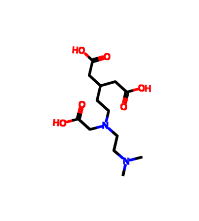 CN(C)CCN(CCC(CC(=O)O)CC(=O)O)CC(=O)O